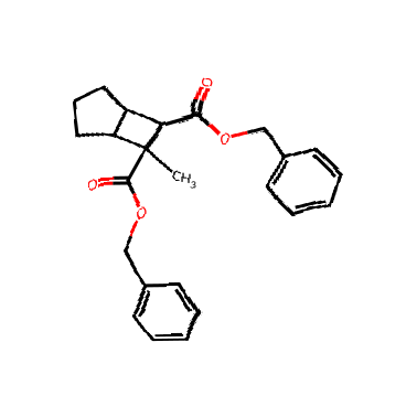 CC1(C(=O)OCc2ccccc2)C2CCCC2C1C(=O)OCc1ccccc1